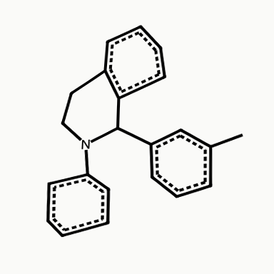 Cc1cccc(C2c3ccccc3CCN2c2ccccc2)c1